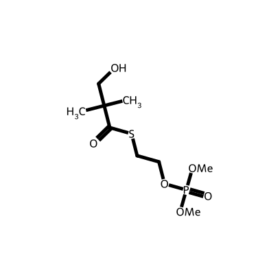 COP(=O)(OC)OCCSC(=O)C(C)(C)CO